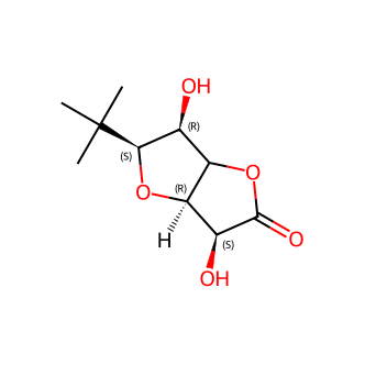 CC(C)(C)[C@@H]1O[C@H]2C(OC(=O)[C@H]2O)[C@@H]1O